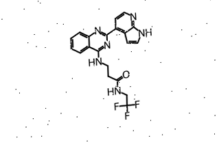 O=C(CCNc1nc(-c2ccnc3[nH]ccc23)nc2ccccc12)NCC(F)(F)F